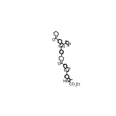 CCOC(=O)c1[nH]c2ccc(-c3cnc4ccc(C(=O)N5CCC(c6ccc(-c7nc(-c8ccnn8C)c8ccc(C(=O)N9CCCCC9)cc8n7)cc6)CC5)cc4n3)cc2c1C